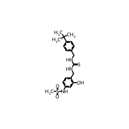 CC(C)(C)c1ccc(CNC(=S)NCc2ccc(NS(C)(=O)=O)cc2O)cc1